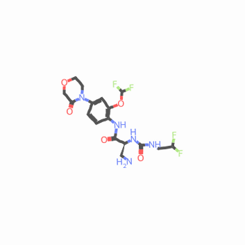 NC[C@H](NC(=O)NCC(F)F)C(=O)Nc1ccc(N2CCOCC2=O)cc1OC(F)F